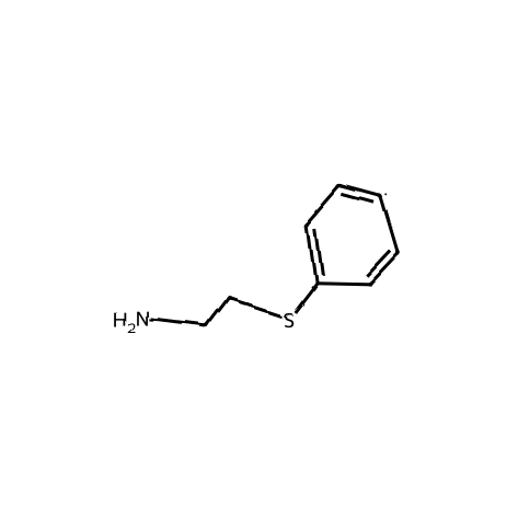 NCCSc1cc[c]cc1